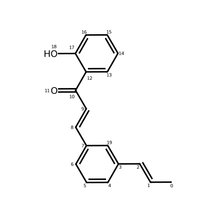 CC=Cc1cccc(C=CC(=O)c2ccccc2O)c1